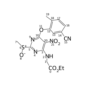 CCOC(=O)CNc1nc([S+](C)[O-])nc(Oc2cc(C#N)ccc2C)c1[N+](=O)[O-]